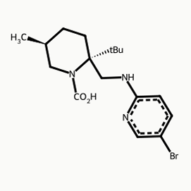 C[C@H]1CC[C@](CNc2ccc(Br)cn2)(C(C)(C)C)N(C(=O)O)C1